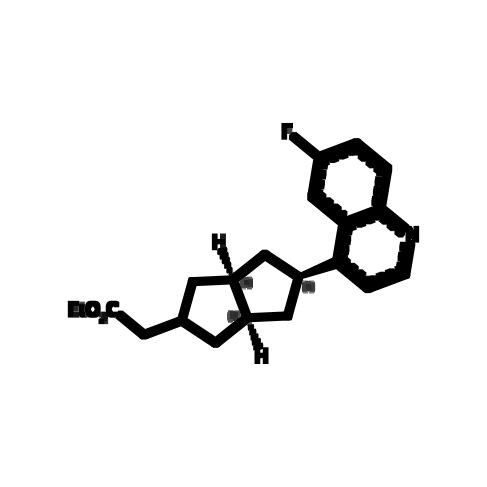 CCOC(=O)CC1C[C@@H]2C[C@H](c3ccnc4ccc(F)cc34)C[C@@H]2C1